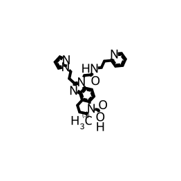 C[C@H]1CCc2c(ccc3c2nc(CCn2cccn2)n3CC(=O)NCCc2ccccn2)N1C(=O)O